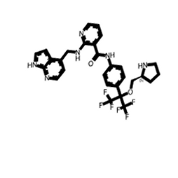 O=C(Nc1ccc(C(OC[C@@H]2CCCN2)(C(F)(F)F)C(F)(F)F)cc1)c1cccnc1NCc1ccnc2[nH]ccc12